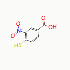 O=C(O)c1ccc(S)c([N+](=O)[O-])c1